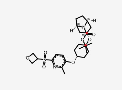 Cc1nc(S(=O)(=O)C2COC2)ccc1O[C@H]1CC[C@H](O[C@@H]2C[C@H]3CC[C@@H](C2)N3C(=O)OC(C)(C)C)CC1